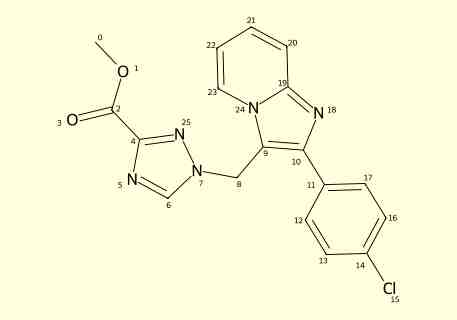 COC(=O)c1ncn(Cc2c(-c3ccc(Cl)cc3)nc3ccccn23)n1